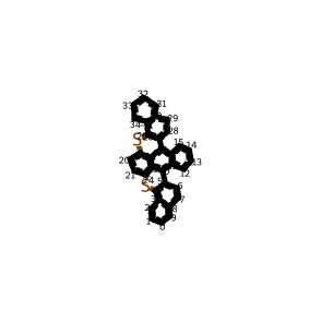 c1ccc2c3c(ccc2c1)-c1c2ccccc2c2c4c(ccc(c14)S3)Sc1c-2ccc2ccccc12